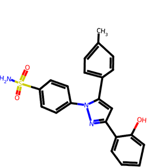 Cc1ccc(-c2cc(-c3ccccc3O)nn2-c2ccc(S(N)(=O)=O)cc2)cc1